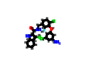 Nc1cc(Cl)cc(Oc2c(Cl)ccc(CNC(=O)c3[nH]c4ccccc4c3Cl)c2F)c1